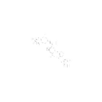 COC(=O)c1ccn(-c2cc(Nc3ccc4c(c3)OC(F)(F)O4)ncc2C)c1